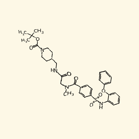 CN(CC(=O)NCC1CCN(C(=O)OC(C)(C)C)CC1)C(=O)c1ccc(S(=O)(=O)Nc2ccccc2Oc2ccccc2)cc1